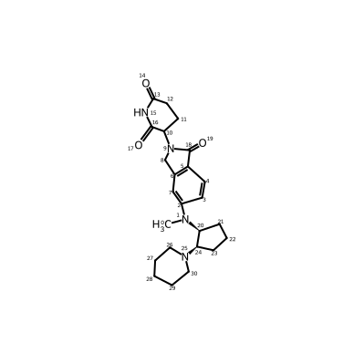 CN(c1ccc2c(c1)CN(C1CCC(=O)NC1=O)C2=O)[C@H]1CCC[C@H]1N1CCCCC1